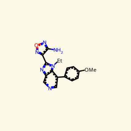 CCn1c(-c2nonc2N)nc2cncc(-c3ccc(OC)cc3)c21